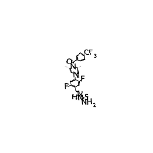 C[C@@H]1CN(c2cc(F)c(/C=N/NC(N)=S)cc2F)C[C@H](C)N1C(=O)c1ccc(C(F)(F)F)cc1